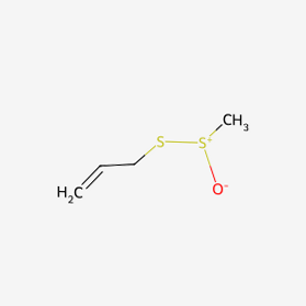 C=CCS[S+](C)[O-]